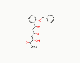 COC(=O)C(O)=CC(=O)CC(=O)c1ccccc1OCc1ccccc1